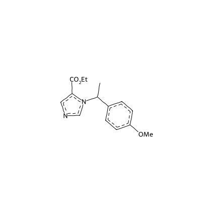 CCOC(=O)c1cncn1C(C)c1ccc(OC)cc1